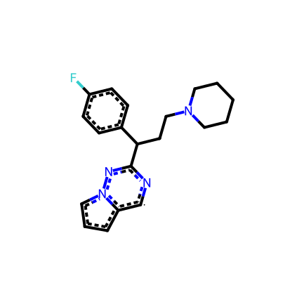 Fc1ccc(C(CCN2CCCCC2)c2n[c]c3cccn3n2)cc1